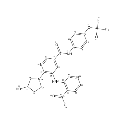 O=C(Nc1ccc(OC(F)(F)Cl)cc1)c1cnc(N2CCC(O)C2)c(Nc2cnccc2[N+](=O)[O-])c1